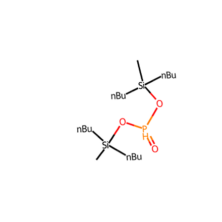 CCCC[Si](C)(CCCC)O[PH](=O)O[Si](C)(CCCC)CCCC